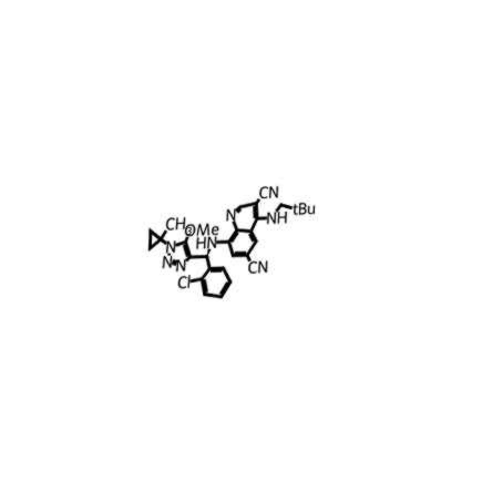 COc1c([C@@H](Nc2cc(C#N)cc3c(NCC(C)(C)C)c(C#N)cnc23)c2ccccc2Cl)nnn1C1(C)CC1